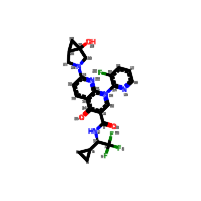 O=C(N[C@H](C1CC1)C(F)(F)F)c1cn(-c2ncccc2F)c2nc(N3CC4CC4(O)C3)ccc2c1=O